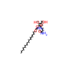 CCCCCCCCCCCCCCCCOCCOC1C(N/C=C\C(N)=O)OC(CO)C1O